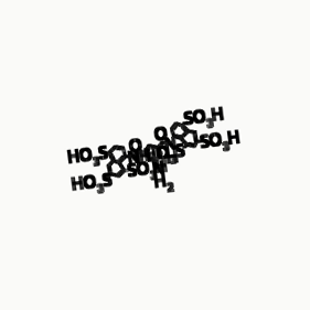 Nc1cc(C(=O)Nc2ccc(S(=O)(=O)O)c3cc(S(=O)(=O)O)cc(S(=O)(=O)O)c23)cc(C(=O)Nc2ccc(S(=O)(=O)O)c3cc(S(=O)(=O)O)cc(S(=O)(=O)O)c23)c1